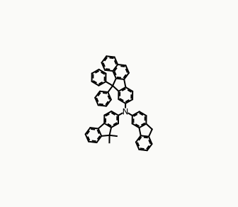 CC1(C)c2ccccc2-c2ccc(N(c3ccc4c(c3)-c3ccccc3C4)c3ccc4c(c3)C(c3ccccc3)(c3ccccc3)c3c-4ccc4ccccc34)cc21